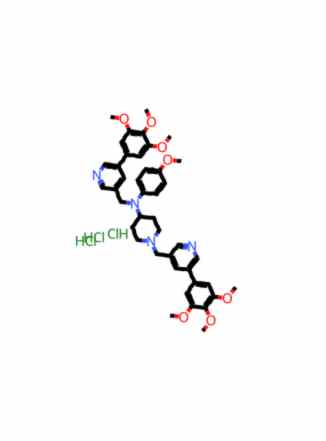 COc1ccc(N(Cc2cncc(-c3cc(OC)c(OC)c(OC)c3)c2)C2CCN(Cc3cncc(-c4cc(OC)c(OC)c(OC)c4)c3)CC2)cc1.Cl.Cl.Cl